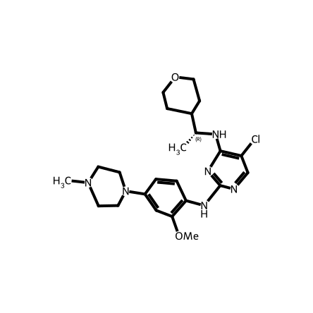 COc1cc(N2CCN(C)CC2)ccc1Nc1ncc(Cl)c(N[C@H](C)C2CCOCC2)n1